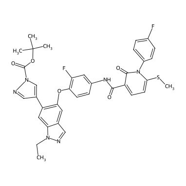 CCn1ncc2cc(Oc3ccc(NC(=O)c4ccc(SC)n(-c5ccc(F)cc5)c4=O)cc3F)c(-c3cnn(C(=O)OC(C)(C)C)c3)cc21